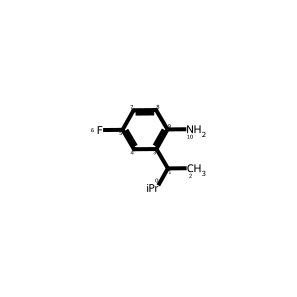 CC(C)C(C)c1cc(F)ccc1N